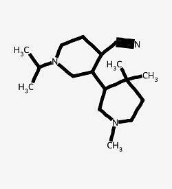 CC(C)N1CCC(C#N)C(C2CN(C)CCC2(C)C)C1